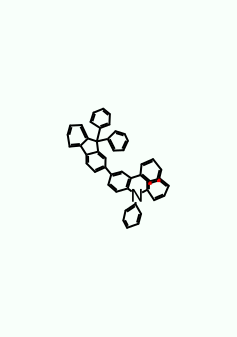 c1ccc(-c2cc(-c3ccc4c(c3)C(c3ccccc3)(c3ccccc3)c3ccccc3-4)ccc2N(c2ccccc2)c2ccccc2)cc1